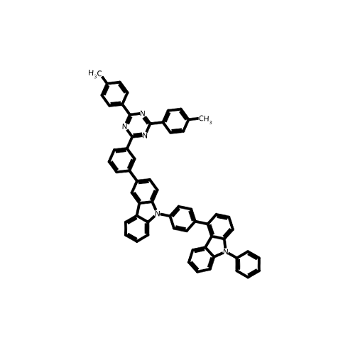 Cc1ccc(-c2nc(-c3ccc(C)cc3)nc(-c3cccc(-c4ccc5c(c4)c4ccccc4n5-c4ccc(-c5cccc6c5c5ccccc5n6-c5ccccc5)cc4)c3)n2)cc1